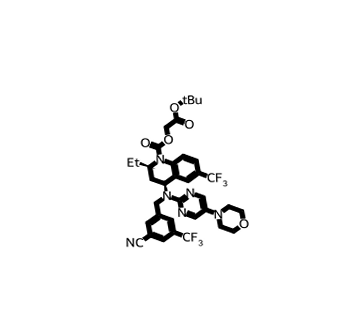 CC[C@@H]1C[C@H](N(Cc2cc(C#N)cc(C(F)(F)F)c2)c2ncc(N3CCOCC3)cn2)c2cc(C(F)(F)F)ccc2N1C(=O)OCC(=O)OC(C)(C)C